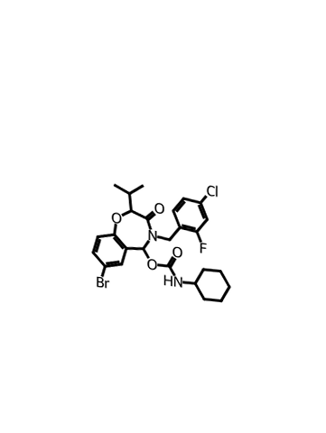 CC(C)C1Oc2ccc(Br)cc2C(OC(=O)NC2CCCCC2)N(Cc2ccc(Cl)cc2F)C1=O